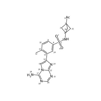 CC(=O)C12CC(NS(=O)(=O)c3ccc(C)c(-c4cn5c(N)ncnc5n4)c3)(C1)C2